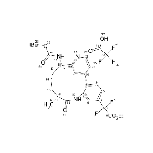 CCOC(=O)C(F)(F)c1ccc2c(c1)NC(=O)[C@H](C)CCC[C@H](NC(=O)OC(C)(C)C)c1cc-2ccn1.O=C(O)C(F)(F)F